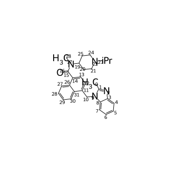 Cc1nc2ccccc2n1Cc1ccc(C(=O)N(C)C2CCN(C(C)C)CC2)c2ccccc12